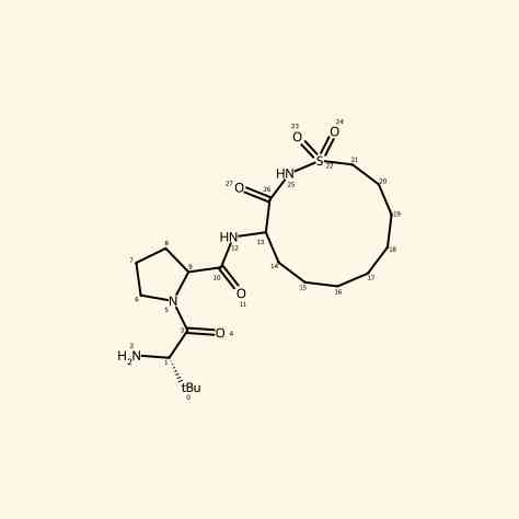 CC(C)(C)[C@H](N)C(=O)N1CCCC1C(=O)NC1CCCCCCCCS(=O)(=O)NC1=O